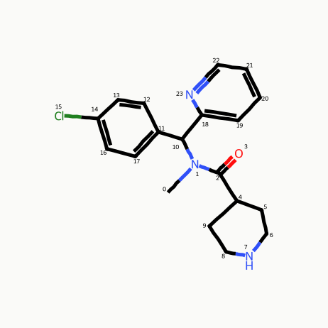 CN(C(=O)C1CCNCC1)C(c1ccc(Cl)cc1)c1ccccn1